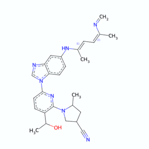 C=N/C(C)=C\C=C(/C)Nc1ccc2c(c1)ncn2-c1ccc(C(C)O)c(N2CC(C#N)CC2C)n1